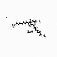 CCCCCCCCCC(=O)N(CCN)C(=O)CCCCCCCCC.[NaH]